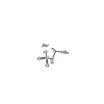 CC(NS(=O)(=O)[O-])C(C)(C)C.[Na+]